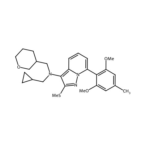 COc1cc(C)cc(OC)c1-c1cccc2c(N(CC3CC3)CC3CCCOC3)c(SC)nn12